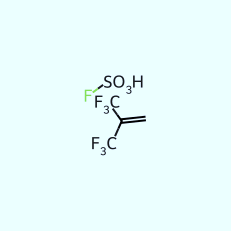 C=C(C(F)(F)F)C(F)(F)F.O=S(=O)(O)F